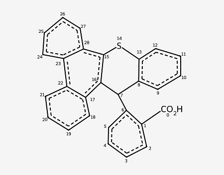 O=C(O)c1ccccc1C1c2ccccc2Sc2c1c1ccccc1c1ccccc21